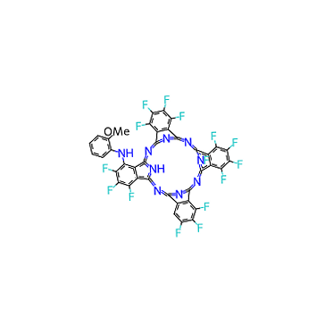 COc1ccccc1Nc1c(F)c(F)c(F)c2c3nc4nc(nc5c6c(F)c(F)c(F)c(F)c6c(nc6nc(nc([nH]3)c12)-c1c(F)c(F)c(F)c(F)c1-6)n5F)-c1c-4cc(F)c(F)c1F